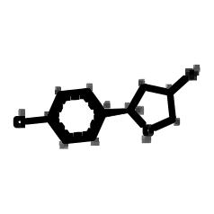 Clc1ccc([C@H]2CC(Br)CO2)cc1